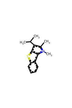 Cc1c(C(C)C)c2sc3ccccc3c2n1C